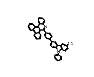 N#Cc1ccc2c(c1)c1cc(-c3ccc(-c4nc5ccccc5c5c6ccccc6c6ccccc6c45)cc3)ccc1n2-c1ccccc1